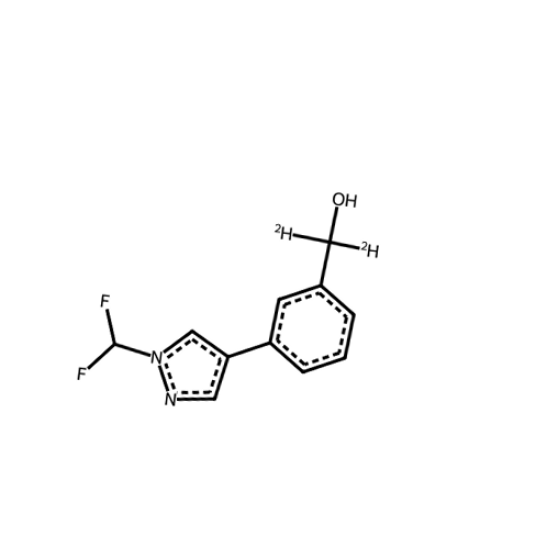 [2H]C([2H])(O)c1cccc(-c2cnn(C(F)F)c2)c1